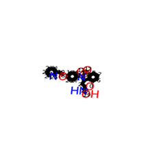 O=C(CC1c2ccccc2S(=O)(=O)N1c1ccc(OCc2ccccn2)cc1)NO